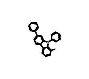 Clc1cccc2c3ccc(-c4ccccc4)cc3n(-c3ccccc3)c12